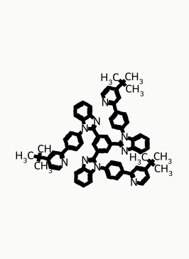 CC(C)(C)c1ccnc(-c2ccc(-n3c(-c4cc(-c5nc6ccccc6n5-c5ccc(-c6cc(C(C)(C)C)ccn6)cc5)cc(-c5nc6ccccc6n5-c5ccc(-c6cc(C(C)(C)C)ccn6)cc5)c4)nc4ccccc43)cc2)c1